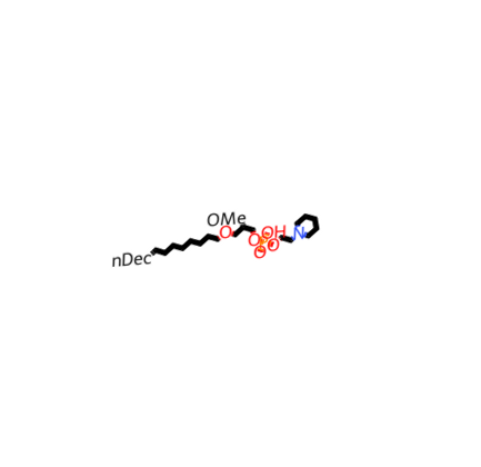 CCCCCCCCCCCCCCCCCCOCC(COP(=O)(O)OCCN1CCCCC1)OC